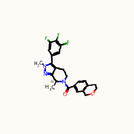 C[C@H]1c2nn(C)c(-c3cc(F)c(F)c(F)c3)c2CCN1C(=O)c1ccc2c(c1)COCC2